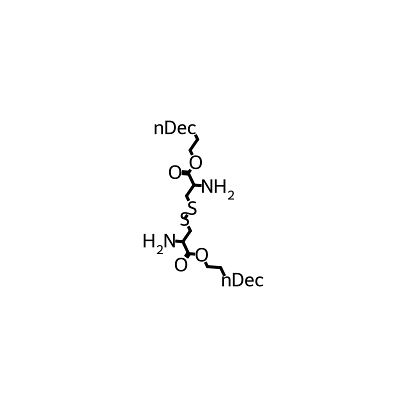 CCCCCCCCCCCCOC(=O)C(N)CSSCC(N)C(=O)OCCCCCCCCCCCC